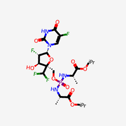 CC(C)OC(=O)[C@H](C)NP(=O)(N[C@@H](C)C(=O)OC(C)C)OC[C@@]1(C(F)F)O[C@@H](n2cc(F)c(=O)[nH]c2=O)[C@@H](F)[C@@H]1O